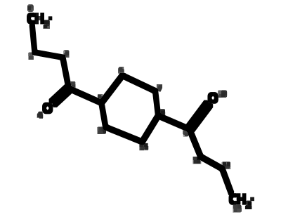 [CH2]CCC(=O)C1CCC(C(=O)CC[CH2])CC1